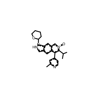 Cc1cc(-c2c(C(C)C)[n+](=O)cc3cc4c(c[nH]n4C4CCCCO4)cc23)ccn1